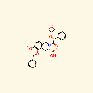 COc1ccc2c(c1OCc1ccccc1)C[C@@H](C(=O)O)N(C(=O)[C@@H](OC1COC1)c1ccccc1)C2